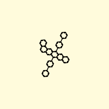 c1ccc(-c2ccc(-c3c4cc5ccccc5cc4c(-c4ccc(-c5ccccc5)cc4)c4cc5c(ccc6ccccc65)cc34)cc2)cc1